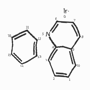 [Ir].c1ccc2ncccc2c1.c1ccccc1